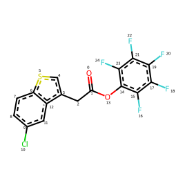 O=C(Cc1csc2ccc(Cl)cc12)Oc1c(F)c(F)c(F)c(F)c1F